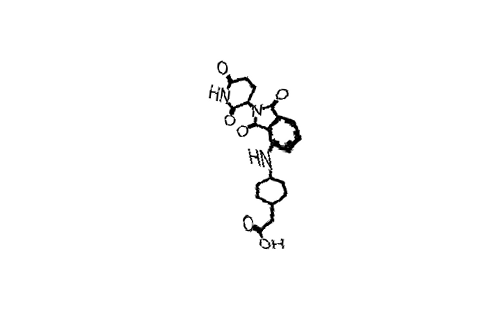 O=C(O)CC1CCC(Nc2cccc3c2C(=O)N(C2CCC(=O)NC2=O)C3=O)CC1